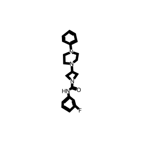 O=C(Nc1cccc(F)c1)N1CC(N2CCN(c3ccccc3)CC2)C1